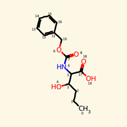 CCCC(O)C(NC(=O)OCc1ccccc1)C(=O)O